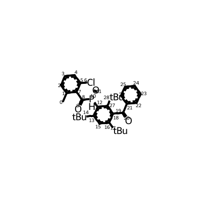 Cc1cccc(Cl)c1C(=O)[PH](=O)c1c(C(C)(C)C)cc(C(C)(C)C)c(C(=O)c2ccccc2)c1C(C)(C)C